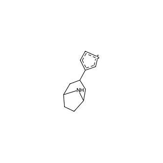 c1cc(C2CC3CCC(C2)N3)cs1